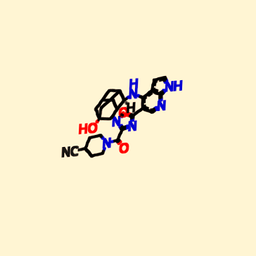 N#CC1CCN(C(=O)c2noc(-c3cnc4[nH]ccc4c3N[C@H]3C4CC5CC3C[C@@](O)(C5)C4)n2)CC1